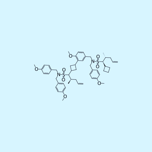 C=CC[C@@H](C)C(C1CC(c2cc(CN(Cc3ccc(OC)cc3)S(=O)(=O)[C@H](C3CCC3)[C@H](C)CC=C)ccc2OC)C1)S(=O)(=O)N(Cc1ccc(OC)cc1)Cc1ccc(OC)cc1